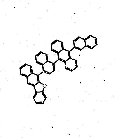 c1ccc2cc(-c3c4ccccc4c(-c4ccc(-c5c6ccccc6cc6c5oc5ccccc56)c5ccccc45)c4ccccc34)ccc2c1